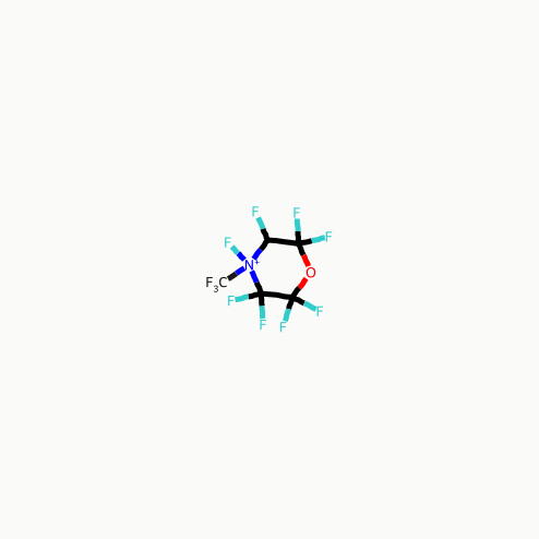 FC1C(F)(F)OC(F)(F)C(F)(F)[N+]1(F)C(F)(F)F